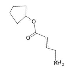 NC/C=C/C(=O)OC1CCCC1